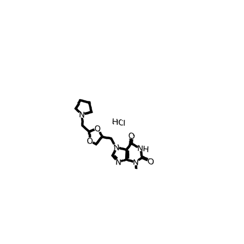 Cl.Cn1c(=O)[nH]c(=O)c2c1ncn2CC1COC(CN2CCCC2)O1